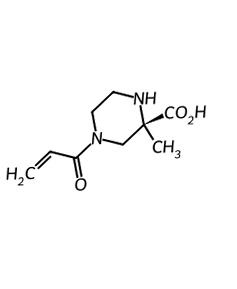 C=CC(=O)N1CCN[C@@](C)(C(=O)O)C1